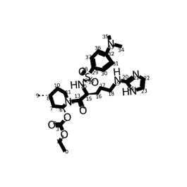 CCOC(=O)O[C@@H]1C[C@H](C)CCN1C(=O)[C@H](CCCNc1ncc[nH]1)NS(=O)(=O)c1ccc(N(C)C)cc1